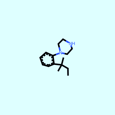 CCC(C)(C)c1ccccc1N1CCNCC1